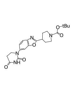 CC(C)(C)OC(=O)N1CCC(c2nc3ccc(N4CCC(=O)NC4=O)cc3o2)CC1